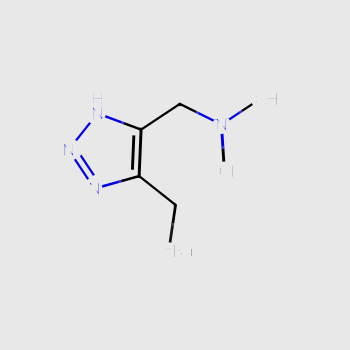 CN(C)Cc1[nH]nnc1CC(C)(C)C